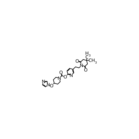 CC1(C)CC(=O)N(CCc2ccc(OC(=O)N3CCC(On4ccnc4)CC3)nc2)C(=O)C1